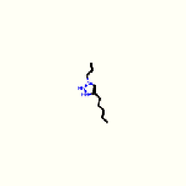 CCCCCC1=CN(CCC)NN1